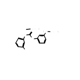 CS(=O)(=O)O.Cc1cccc(NC(=O)Oc2cccc(NC(=O)O)c2)c1